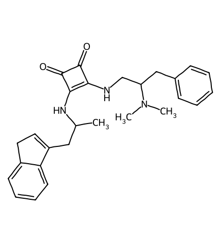 CC(CC1=CCc2ccccc21)Nc1c(NCC(Cc2ccccc2)N(C)C)c(=O)c1=O